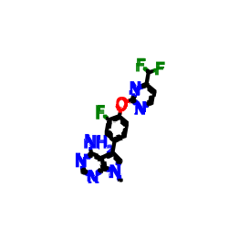 Cn1cc(-c2ccc(Oc3nccc(C(F)F)n3)c(F)c2)c2c(N)ncnc21